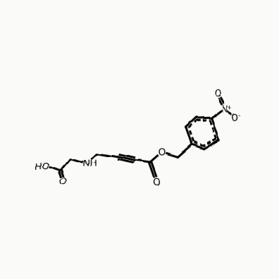 O=C(O)CNCC#CC(=O)OCc1ccc([N+](=O)[O-])cc1